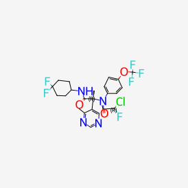 Cc1ncncc1[C@](C)(C(=O)NC1CCC(F)(F)CC1)N(C(=O)[C@H](F)Cl)c1ccc(OC(F)(F)F)cc1